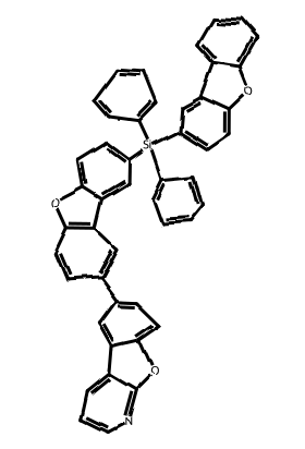 c1ccc([Si](c2ccccc2)(c2ccc3oc4ccccc4c3c2)c2ccc3oc4ccc(-c5ccc6oc7ncccc7c6c5)cc4c3c2)cc1